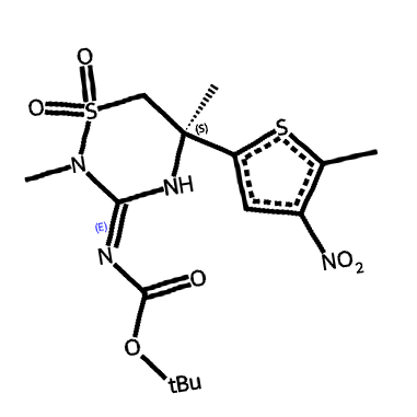 Cc1sc([C@]2(C)CS(=O)(=O)N(C)/C(=N/C(=O)OC(C)(C)C)N2)cc1[N+](=O)[O-]